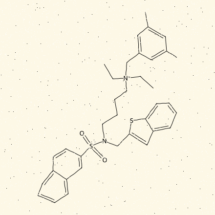 CC[N+](CC)(CCCCN(Cc1cc2ccccc2s1)S(=O)(=O)c1ccc2ccccc2c1)Cc1cc(C)cc(C)c1